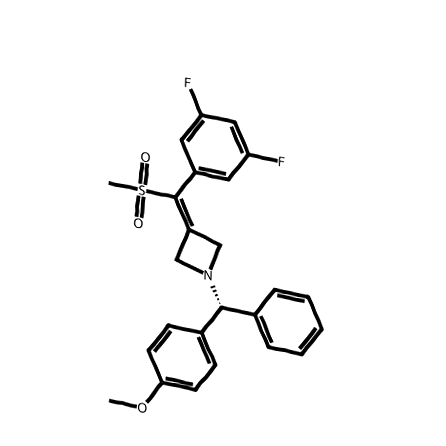 COc1ccc([C@@H](c2ccccc2)N2CC(=C(c3cc(F)cc(F)c3)S(C)(=O)=O)C2)cc1